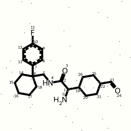 NC(C(=O)NCC1(c2ccc(F)cc2)CCCCC1)C1CCC(C=O)CC1